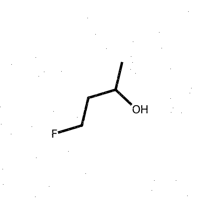 CC(O)CCF